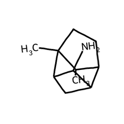 CC1C2CCC1(C)C1CC2C1N